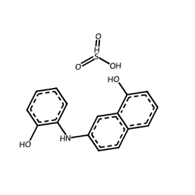 O=[SH](=O)O.Oc1ccccc1Nc1ccc2cccc(O)c2c1